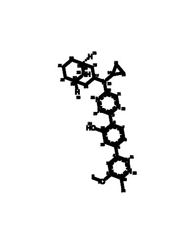 COc1cc(-c2ccc(-c3ncc(N(C4CC4)C4C[C@@H]5CCC[C@@H](C4)N5)nn3)c(O)c2)nnc1C